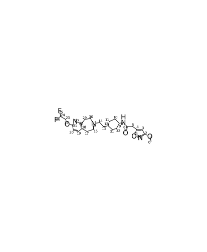 COc1cc(CC(=O)N[C@H]2CC[C@H](CCN3CCc4ccc(OCC(F)F)nc4CC3)CC2)on1